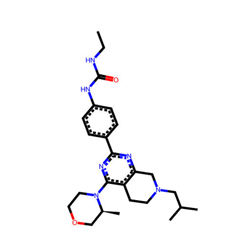 CCNC(=O)Nc1ccc(-c2nc3c(c(N4CCOC[C@@H]4C)n2)CCN(CC(C)C)C3)cc1